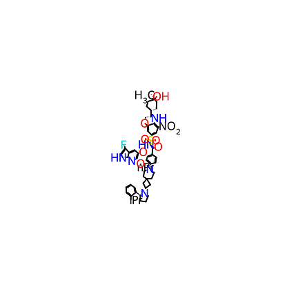 CCCOc1nc2[nH]cc(F)c2cc1Oc1cc(N2CCC3(CC2)CC(N2CCC[C@H]2c2ccccc2C(C)C)C3)ccc1C(=O)NS(=O)(=O)c1cc2c(c([N+](=O)[O-])c1)N[C@@H]([C@H]1CC[C@](C)(O)CC1)CO2